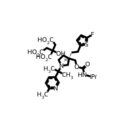 Cc1ccc(C(C)(C)N2CC[C@@](CCc3ccc(F)s3)(COC(=O)NC(C)C)C2)cn1.O=C(O)CC(O)(CC(=O)O)C(=O)O